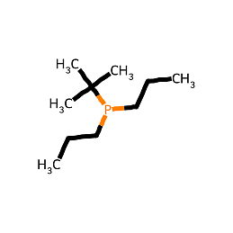 CCCP(CCC)C(C)(C)C